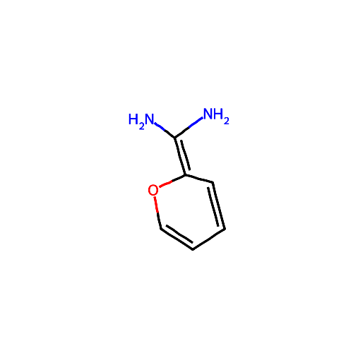 NC(N)=C1C=CC=CO1